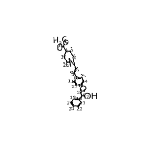 COC(=O)C1CCN(CCc2ccc(OCC(O)c3ccccc3)cc2)CC1